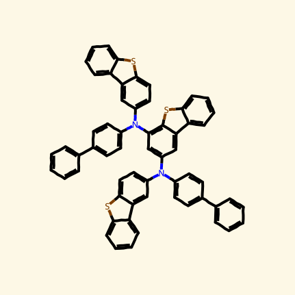 c1ccc(-c2ccc(N(c3ccc4sc5ccccc5c4c3)c3cc(N(c4ccc(-c5ccccc5)cc4)c4ccc5sc6ccccc6c5c4)c4sc5ccccc5c4c3)cc2)cc1